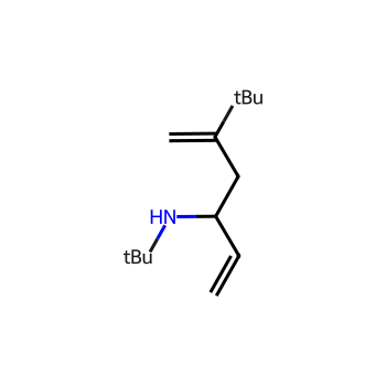 C=CC(CC(=C)C(C)(C)C)NC(C)(C)C